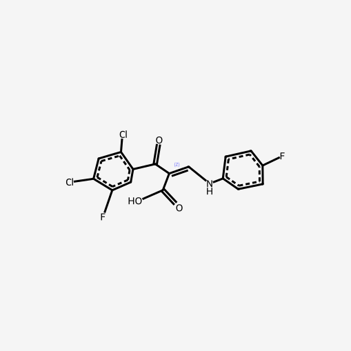 O=C(O)/C(=C\Nc1ccc(F)cc1)C(=O)c1cc(F)c(Cl)cc1Cl